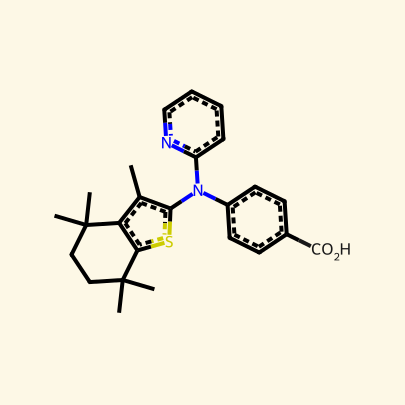 Cc1c(N(c2ccc(C(=O)O)cc2)c2ccccn2)sc2c1C(C)(C)CCC2(C)C